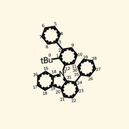 CC(C)(C)c1c(-c2ccccc2)cccc1-n1c2ccccc2c2cccc(-c3ccccc3)c21